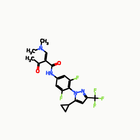 CC(=O)/C(=C\N(C)C)C(=O)Nc1cc(F)c(-n2nc(C(F)(F)F)cc2C2CC2)c(F)c1